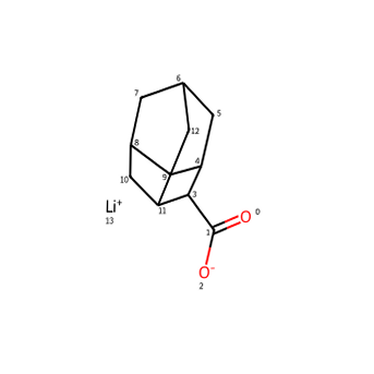 O=C([O-])C1C2CC3CC(C2)CC1C3.[Li+]